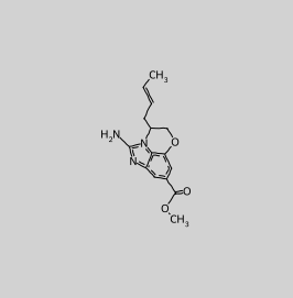 CC=CCC1COc2cc(C(=O)OC)cc3nc(N)n1c23